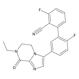 CCN1CCn2c(-c3ccc(F)c(-c4cccc(F)c4C#N)c3)cnc2C1=O